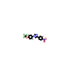 O=[N+]([O-])c1ccc(-c2cn(-c3ccc(OC(F)(F)F)cc3)cn2)cc1